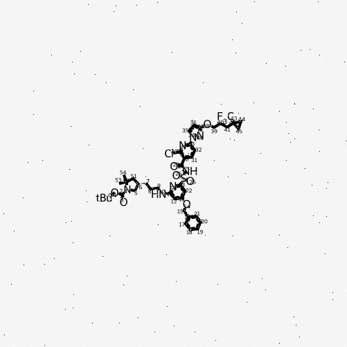 CC(C)(C)OC(=O)N1C[C@@H](CCCNc2cc(OCc3ccccc3)cc(S(=O)(=O)NC(=O)c3ccc(-n4ccc(OCCCC5(C(F)(F)F)CC5)n4)nc3Cl)n2)CC1(C)C